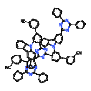 N#Cc1cccc(-c2cccc(-c3nc(-c4ccc(-c5cccc(C#N)c5)cc4-n4c5ccccc5c5cc(-c6nc(-c7ccccc7)nc(-c7ccccc7)n6)ccc54)nc(-c4ccc(-c5cccc(C#N)c5)cc4-n4c5ccccc5c5cc(-c6nc(-c7ccccc7)nc(-c7ccccc7)n6)ccc54)n3)c2)c1